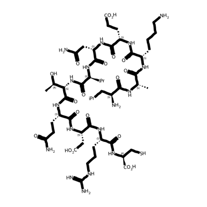 CC(C)C[C@H](N)C(=O)N[C@@H](C)C(=O)N[C@@H](CCCCN)C(=O)N[C@@H](CCC(=O)O)C(=O)N[C@@H](CC(N)=O)C(=O)N[C@H](C(=O)N[C@H](C(=O)N[C@@H](CCC(N)=O)C(=O)N[C@@H](CC(=O)O)C(=O)N[C@@H](CCCNC(=N)N)C(=O)N[C@@H](CS)C(=O)O)[C@@H](C)O)C(C)C